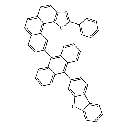 c1ccc(-c2nc3ccc4ccc5ccc(-c6c7ccccc7c(-c7ccc8c(c7)oc7ccccc78)c7ccccc67)cc5c4c3o2)cc1